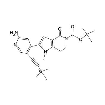 Cn1c(-c2cc(N)ncc2C#C[Si](C)(C)C)cc2c1CCN(C(=O)OC(C)(C)C)C2=O